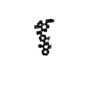 COC(=O)c1nc[nH]c1C(=O)Nc1ccc(NC(=O)c2ccccc2Cl)c(F)c1